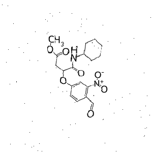 COC(=O)CC(Oc1ccc(C=O)c([N+](=O)[O-])c1)C(=O)NC1CCCCC1